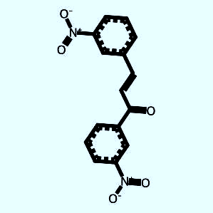 O=C(C=Cc1cccc([N+](=O)[O-])c1)c1cccc([N+](=O)[O-])c1